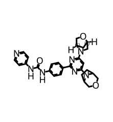 O=C(Nc1ccncc1)Nc1ccc(-c2nc(N3C4CCC3COC4)cc(N3C[C@@H]4C[C@H]3CO4)n2)cc1